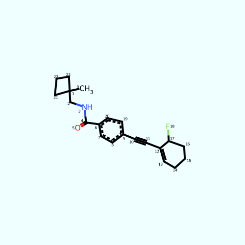 CC1(CNC(=O)c2ccc(C#CC3=CCCCC3F)cc2)CCC1